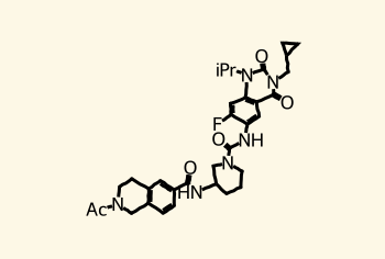 CC(=O)N1CCc2cc(C(=O)NC3CCCN(C(=O)Nc4cc5c(=O)n(CC6CC6)c(=O)n(C(C)C)c5cc4F)C3)ccc2C1